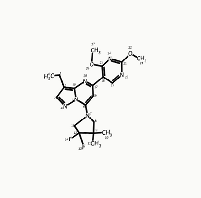 CCc1cnn2c(N3CC(C)(C)C(F)(F)C3)cc(-c3cnc(OC)nc3OC)nc12